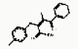 CNC(=N)/C(Cc1ccc(C)cc1)=C(/C)C(=N)C1=CCCC=C1